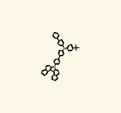 CC(C)(C)c1ccc(N(c2ccc(-c3ccccc3)cc2)c2ccc(-c3ccc(-n4c5ccc6ccccc6c5c5c6ccccc6ccc54)cc3)cc2)cc1